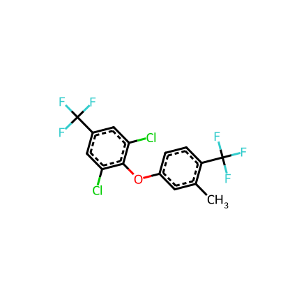 Cc1cc(Oc2c(Cl)cc(C(F)(F)F)cc2Cl)ccc1C(F)(F)F